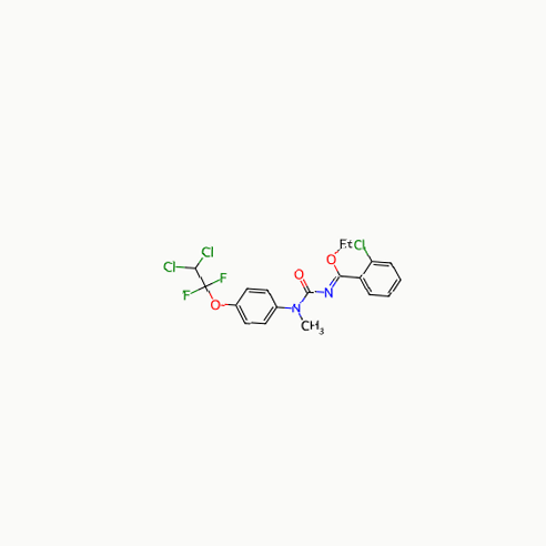 CCOC(=NC(=O)N(C)c1ccc(OC(F)(F)C(Cl)Cl)cc1)c1ccccc1Cl